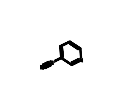 N#[N+]c1cccnc1